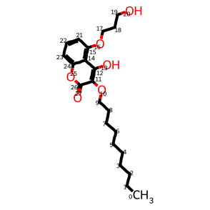 CCCCCCCCCCOc1c(O)c2c(OCCCO)cccc2oc1=O